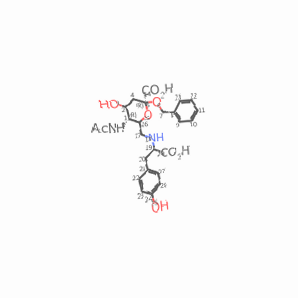 CC(=O)N[C@@H]1C(O)C[C@](OCc2ccccc2)(C(=O)O)OC1CNC(Cc1ccc(O)cc1)C(=O)O